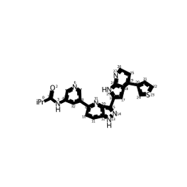 CC(C)C(=O)Nc1cncc(-c2ccc3[nH]nc(-c4cc5c(-c6ccsc6)ccnc5[nH]4)c3n2)c1